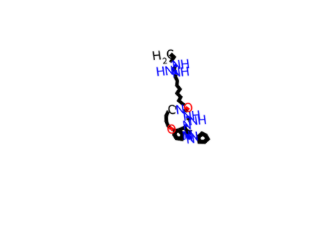 C=CCNC(=N)NCCCCCCCCN1CCCCCCOc2ccccc2C(c2cn(-c3ccccc3)nn2)NC(=N)NC1=O